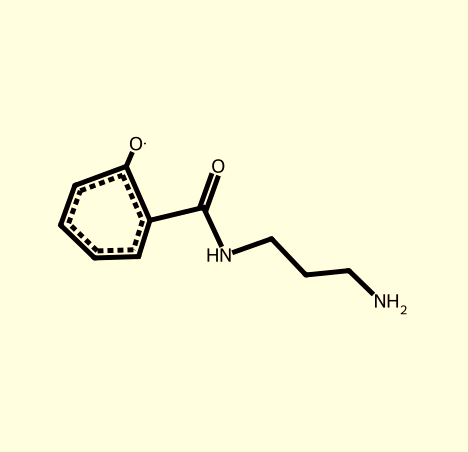 NCCCNC(=O)c1ccccc1[O]